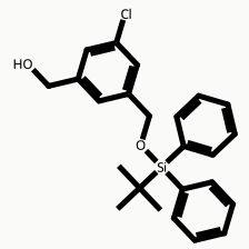 CC(C)(C)[Si](OCc1cc(Cl)cc(CO)c1)(c1ccccc1)c1ccccc1